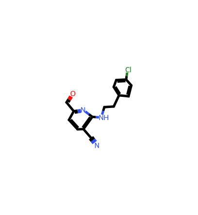 N#Cc1ccc(C=O)nc1NCCc1ccc(Cl)cc1